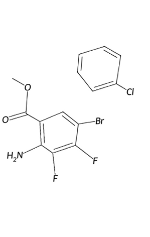 COC(=O)c1cc(Br)c(F)c(F)c1N.Clc1ccccc1